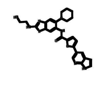 O=C(Nc1cc2sc(NCCO)nc2cc1N1CCCCC1)c1ccc(-c2cnc3[nH]ccc3c2)o1